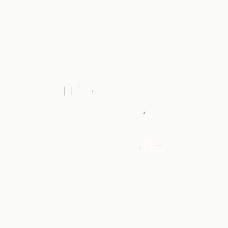 CC(C)/C(=C\C(=O)O)CCO